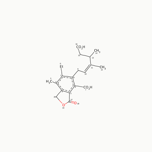 CCc1c(C)c2c(c(C(=O)O)c1CC=C(C)C(C)CC(=O)O)C(=O)OC2